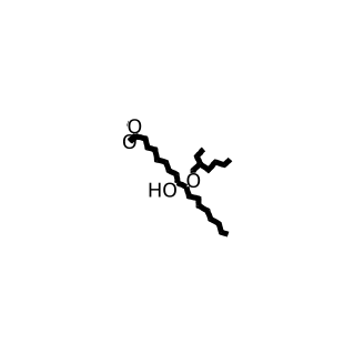 CCCCCCCCC(OCC(CC)CCCC)C(O)CCCCCCCC(=O)OC